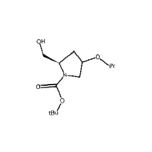 CC(C)OC1C[C@H](CO)N(C(=O)OC(C)(C)C)C1